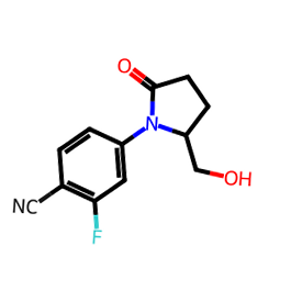 N#Cc1ccc(N2C(=O)CCC2CO)cc1F